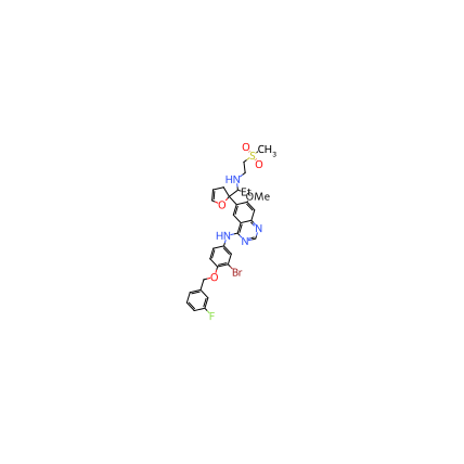 CCC(NCCS(C)(=O)=O)C1(c2cc3c(Nc4ccc(OCc5cccc(F)c5)c(Br)c4)ncnc3cc2OC)CC=CO1